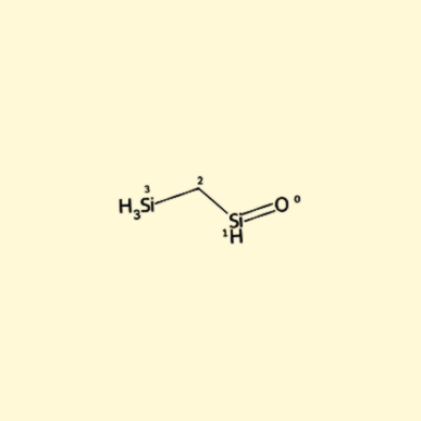 O=[SiH]C[SiH3]